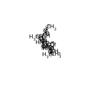 C=CCOC(=O)CNC(=O)C(=O)C(CCC)NC(=O)[C@@H]1CCCN1C(=O)[C@@H](NC(=O)OC(C)(C)C)C1CCCCC1